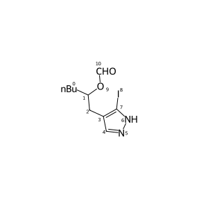 CCCCC(Cc1cn[nH]c1I)OC=O